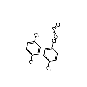 Clc1ccc(Cl)cc1.Clc1ccc(Cl)cc1.O=S=O